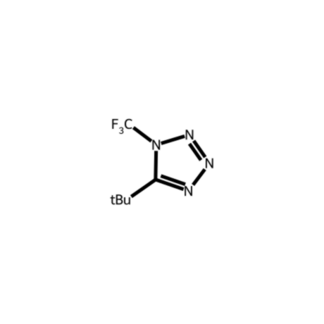 CC(C)(C)c1nnnn1C(F)(F)F